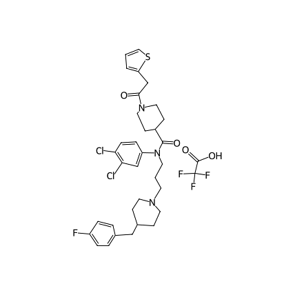 O=C(Cc1cccs1)N1CCC(C(=O)N(CCCN2CCC(Cc3ccc(F)cc3)CC2)c2ccc(Cl)c(Cl)c2)CC1.O=C(O)C(F)(F)F